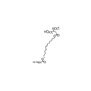 CCCCCCCCC(CCCCCCCC)CC(=O)OCCCCCCCCCCCCCOC(=O)CCCCCCC